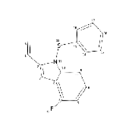 C=Cc1cc2c(F)cccc2n1Sc1ccccc1